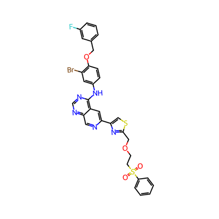 O=S(=O)(CCOCc1nc(-c2cc3c(Nc4ccc(OCc5cccc(F)c5)c(Br)c4)ncnc3cn2)cs1)c1ccccc1